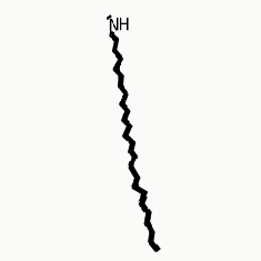 CCCCCCCCCCCCCCCCCCCCCCCCCCNC